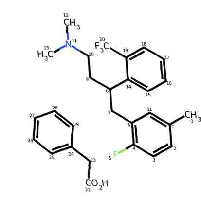 Cc1ccc(F)c(CC(CCN(C)C)c2ccccc2C(F)(F)F)c1.O=C(O)Cc1ccccc1